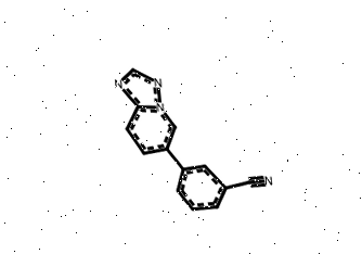 N#Cc1cccc(-c2ccc3ncnn3c2)c1